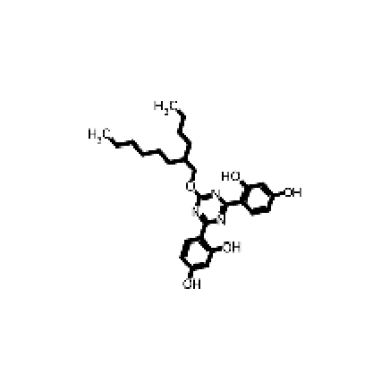 CCCCCCC(CCCC)COc1nc(-c2ccc(O)cc2O)nc(-c2ccc(O)cc2O)n1